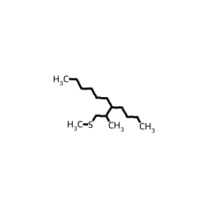 CCCCCCC(CCCC)C(C)CSC